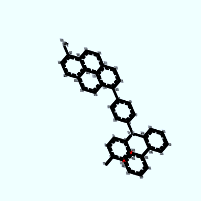 Cc1ccc(N(c2ccc(-c3ccc4ccc5c(C(C)C)ccc6ccc3c4c65)cc2)c2ccccc2-c2ccccc2)cc1